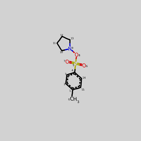 Cc1ccc(S(=O)(=O)ON2CCCC2)cc1